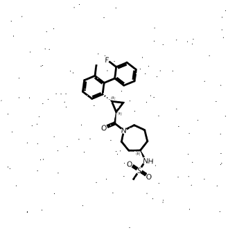 Cc1cccc([C@@H]2C[C@H]2C(=O)N2CCC[C@@H](NS(C)(=O)=O)CC2)c1-c1ccccc1F